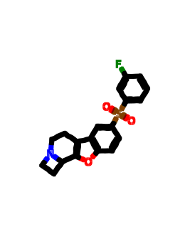 O=S(=O)(c1cccc(F)c1)c1ccc2oc3c(c2c1)CCN1CCC31